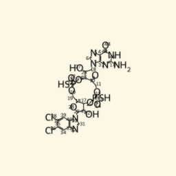 Nc1nc2c(ncn2C2OC3COP(=O)(S)OC4C(COP(=O)(S)OC3C2O)OC(n2cnc3cc(Cl)c(Cl)cc32)C4O)c(=O)[nH]1